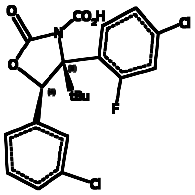 CC(C)(C)[C@@]1(c2ccc(Cl)cc2F)[C@@H](c2cccc(Cl)c2)OC(=O)N1C(=O)O